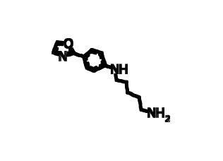 NCCCCCNc1ccc(-c2ncco2)cc1